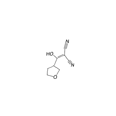 N#CC(C#N)=C(O)C1CCOC1